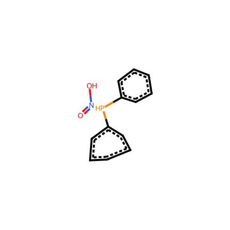 O=NO.c1ccc(Pc2ccccc2)cc1